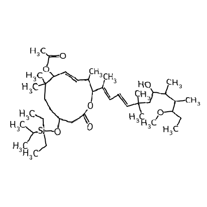 CCC(OC)C(C)C(C)C(O)CC(C)(C)/C=C/C=C(\C)C1OC(=O)CC(O[Si](CC)(CC)C(C)C)CCC(C)(C)C(OC(C)=O)/C=C/C1C